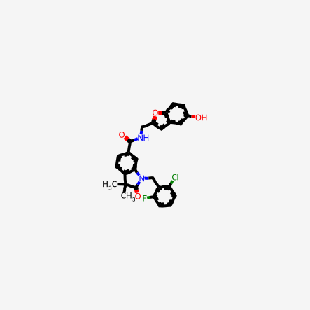 CC1(C)C(=O)N(Cc2c(F)cccc2Cl)c2cc(C(=O)NCc3cc4cc(O)ccc4o3)ccc21